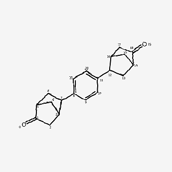 O=C1CC2CC1CC2c1ccc(C2CC3CC2CC3=O)cc1